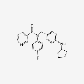 O=C(c1cccnc1)N(Cc1ccc(NC2CCCC2)nc1)c1ccc(F)cc1